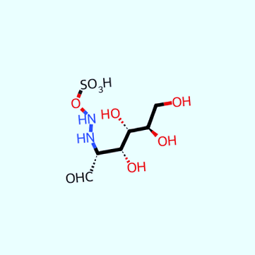 O=C[C@H](NNOS(=O)(=O)O)[C@@H](O)[C@H](O)[C@H](O)CO